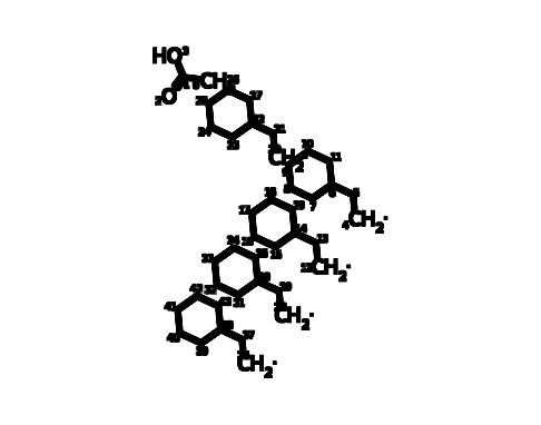 CC(=O)O.[CH2]CC1CCCCC1.[CH2]CC1CCCCC1.[CH2]CC1CCCCC1.[CH2]CC1CCCCC1.[CH2]CC1CCCCC1